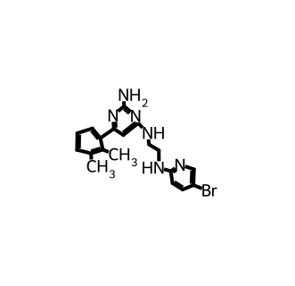 Cc1cccc(-c2cc(NCCNc3ccc(Br)cn3)nc(N)n2)c1C